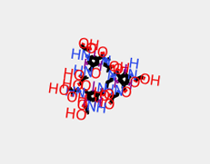 CN(CCCN(CC(O)CN(C)C(=O)c1c(I)c(NC(=O)CO)c(I)c(C(=O)NCC(O)CO)c1I)C(=O)c1c(I)c(NC(=O)CO)c(I)c(C(=O)NCC(O)CO)c1I)C(=O)c1c(I)c(NC(=O)CO)c(I)c(C(=O)NCC(O)CO)c1I